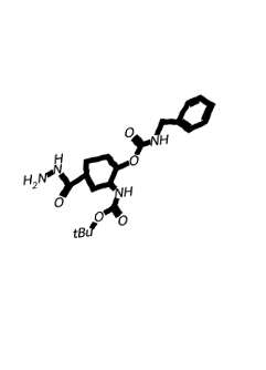 CC(C)(C)OC(=O)NC1CC(C(=O)NN)CCC1OC(=O)NCc1ccccc1